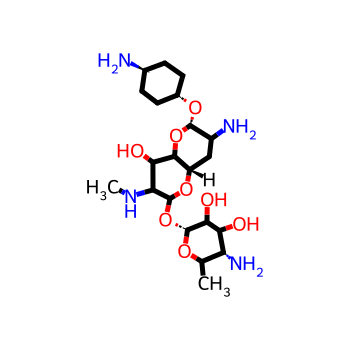 CNC1C(O[C@H]2OC(C)[C@@H](N)C(O)C2O)O[C@H]2CC(N)[C@@H](O[C@H]3CC[C@H](N)CC3)OC2C1O